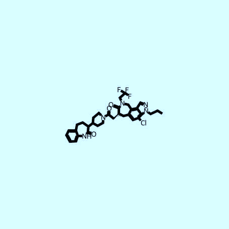 CCCn1ncc2c3c(cc(Cl)c21)C[C@@H](CC(=O)N1CCC(C2CCc4ccccc4NC2=O)CC1)C(=O)N(CC(F)(F)F)C3